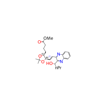 CCCC(O)c1nc2ccccc2nc1/C=C/[C@H]1OC(C)(C)O[C@H]1CCCC(=O)OC